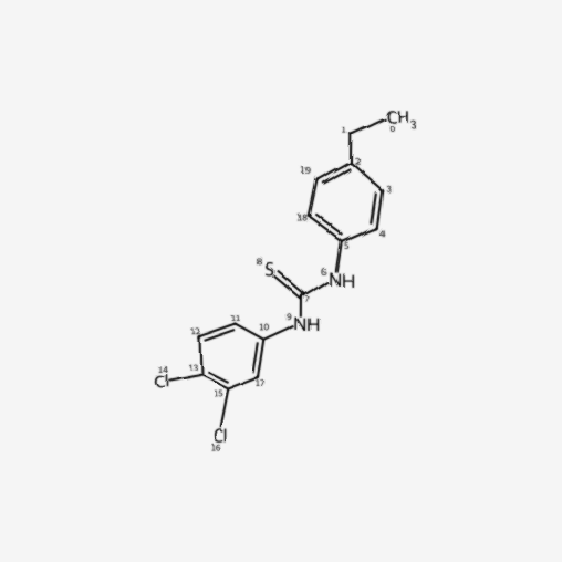 CCc1ccc(NC(=S)Nc2ccc(Cl)c(Cl)c2)cc1